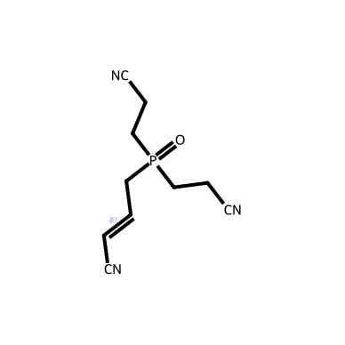 N#C/C=C/CP(=O)(CCC#N)CCC#N